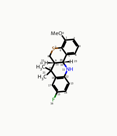 COc1cccc2c1SC[C@@H]1[C@H]2Nc2ccc(F)cc2C1(C)C